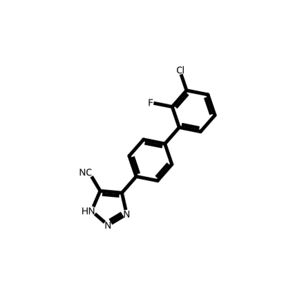 N#Cc1[nH]nnc1-c1ccc(-c2cccc(Cl)c2F)cc1